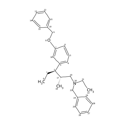 CC[C@@H](c1cccc(OCc2ccccc2)c1)[C@@H](C)CN(CC)Cc1ccccc1